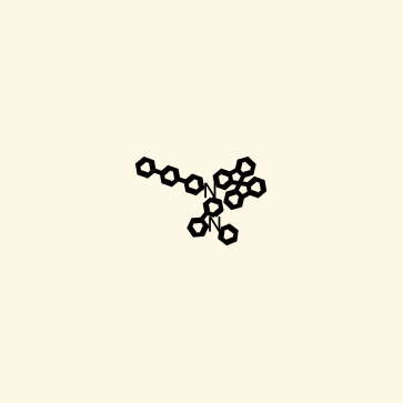 c1ccc(-c2ccc(-c3ccc(N(c4ccc5c(c4)C4(c6ccccc6-c6ccccc64)c4ccccc4-5)c4ccc5c(c4)c4ccccc4n5-c4ccccc4)cc3)cc2)cc1